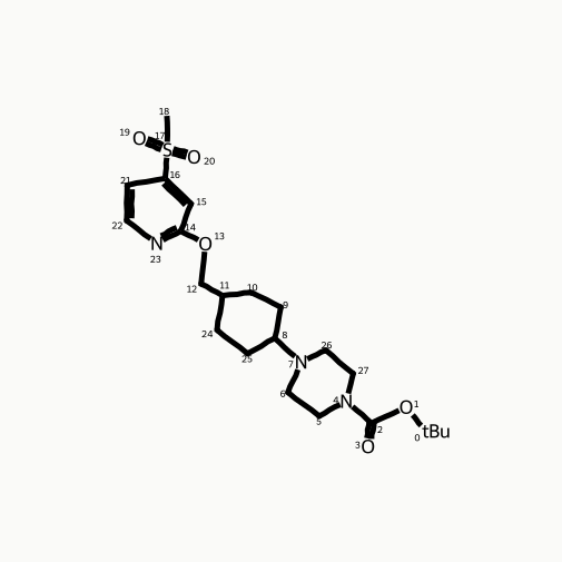 CC(C)(C)OC(=O)N1CCN(C2CCC(COc3cc(S(C)(=O)=O)ccn3)CC2)CC1